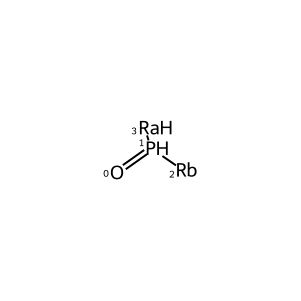 O=[PH]([Rb])[RaH]